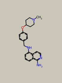 CN1CCC(Oc2ccc(CNc3cccc4c(N)nccc34)cc2)CC1